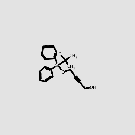 CC(C)(C)[Si](OCC#CCO)(c1ccccc1)c1ccccc1